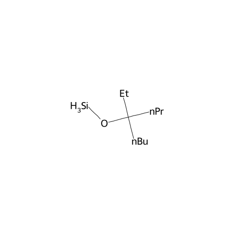 CCCCC(CC)(CCC)O[SiH3]